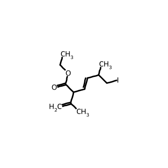 C=C(C)C(C=CC(C)CI)C(=O)OCC